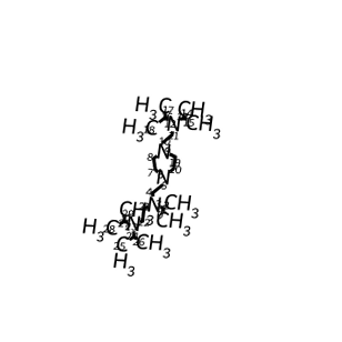 CC(C)N(CCN1CCN(CCN(C(C)C)C(C)C)CC1)CCN(C(C)C)C(C)C